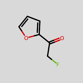 O=C(CF)c1ccco1